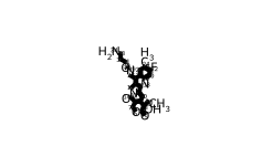 CC[C@@]1(O)C(=O)OCc2c1cc1n(c2=O)Cc2c-1nc1cc(F)c(C)cc1c2C=NOCCCN